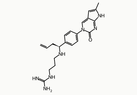 C=CC[C@H](NCCCNC(=N)N)c1ccc(-n2cc3cc(C)[nH]c3nc2=O)cc1